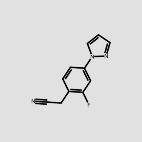 N#CCc1ccc(-n2cccn2)cc1F